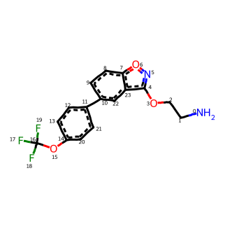 NCCOc1noc2ccc(-c3ccc(OC(F)(F)F)cc3)cc12